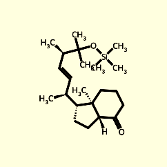 C[C@H](/C=C/[C@H](C)[C@H]1CC[C@H]2C(=O)CCC[C@]12C)C(C)(C)O[Si](C)(C)C